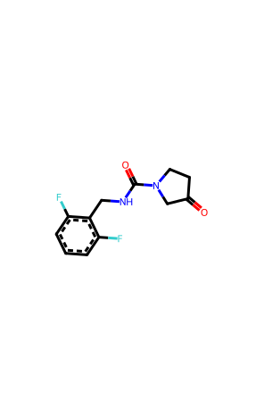 O=C1CCN(C(=O)NCc2c(F)cccc2F)C1